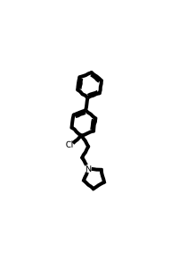 ClC1(CCN2CCCC2)C=CC(c2ccccc2)=CC1